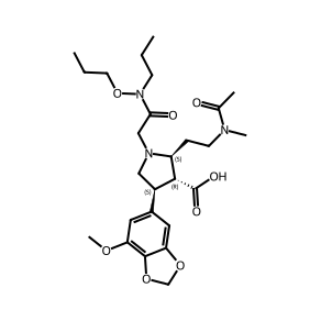 CCCON(CCC)C(=O)CN1C[C@H](c2cc(OC)c3c(c2)OCO3)[C@@H](C(=O)O)[C@@H]1CCN(C)C(C)=O